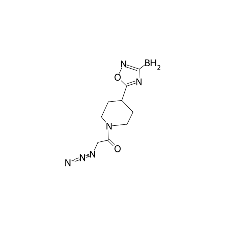 Bc1noc(C2CCN(C(=O)CN=[N+]=[N-])CC2)n1